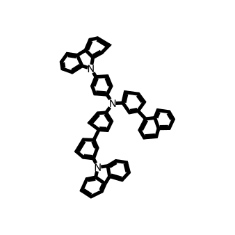 c1cc(-c2cccc3ccccc23)cc(N(c2ccc(-c3cccc(-n4c5ccccc5c5ccccc54)c3)cc2)c2ccc(-n3c4ccccc4c4ccccc43)cc2)c1